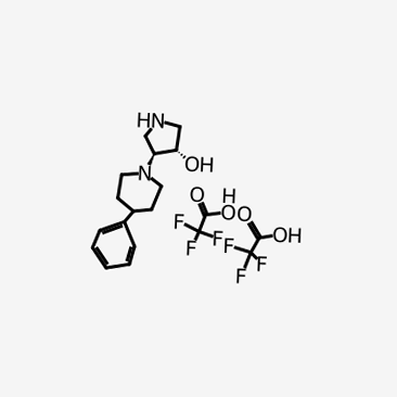 O=C(O)C(F)(F)F.O=C(O)C(F)(F)F.O[C@H]1CNC[C@@H]1N1CCC(c2ccccc2)CC1